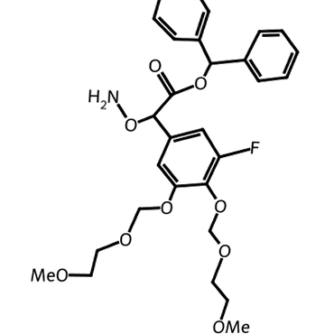 COCCOCOc1cc(C(ON)C(=O)OC(c2ccccc2)c2ccccc2)cc(F)c1OCOCCOC